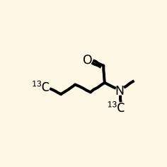 CN([13CH3])C(C=O)CCC[13CH3]